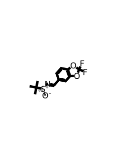 CC(C)(C)[S@+]([O-])N=Cc1ccc2c(c1)OC(F)(F)O2